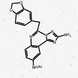 CC(=O)Nc1ccc2nc(Cc3ccc4c(c3)OCO4)n3nc(N)nc3c2c1